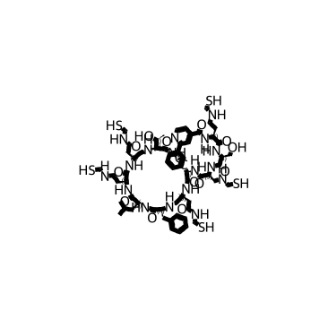 CC(C)C[C@@H]1NC(=O)[C@@H](Cc2ccccc2)NC(=O)[C@H](CCNCS)NC(=O)[C@@H](NC(=O)[C@H](CNCS)NC(=O)[C@H](CO)NC(=O)[C@H](CCNCS)NC(=O)c2ccnc(-c3ccccc3)c2)CCNC(=O)[C@H]([C@@H](C)O)NC(=O)[C@H](CCNCS)NC(=O)[C@H](CCNCS)NC1=O